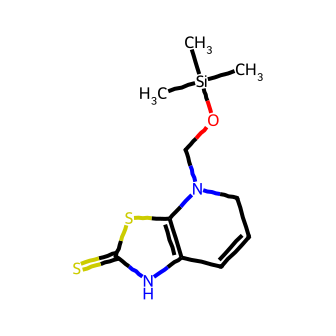 C[Si](C)(C)OCN1CC=Cc2[nH]c(=S)sc21